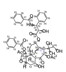 CC(=O)O[C@H]1C(=O)C2[C@H]([C@H](OC(=O)c3ccccc3)C[C@H](OC(=O)[C@H](O)[C@@H](NC(=O)c3ccccc3)c3ccccc3)/C(C)=C/1C(C)(C)CO)[C@]1(OC(C)=O)CO[C@@H]1C[C@@H]2O